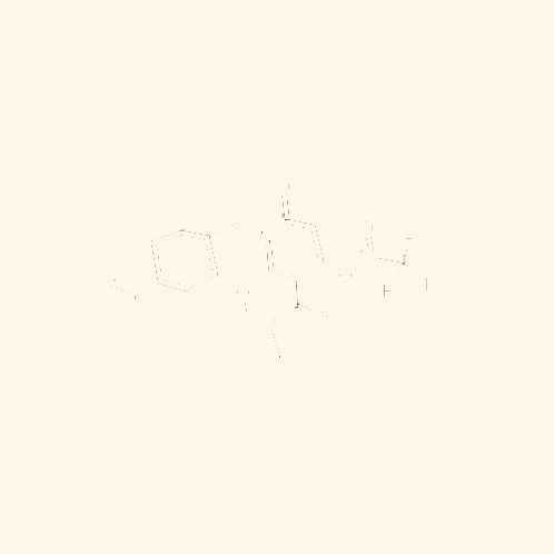 CCOC(=O)c1cn(Cc2ccc(OC)cc2OC)c(=O)cc1OS(=O)C(F)(F)F